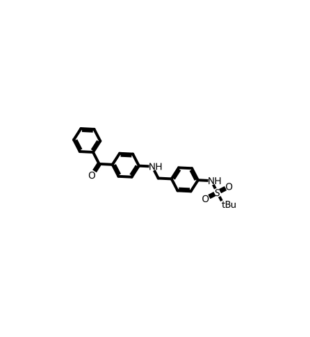 CC(C)(C)S(=O)(=O)Nc1ccc(CNc2ccc(C(=O)c3ccccc3)cc2)cc1